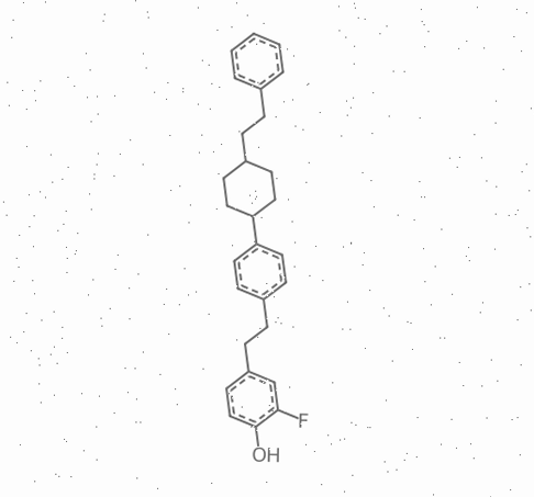 Oc1ccc(CCc2ccc(C3CCC(CCc4ccccc4)CC3)cc2)cc1F